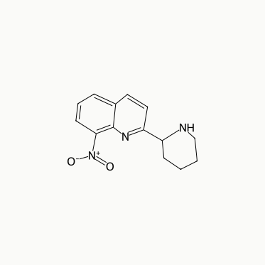 O=[N+]([O-])c1cccc2ccc(C3CCCCN3)nc12